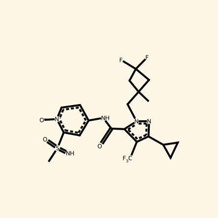 CC1(Cn2nc(C3CC3)c(C(F)(F)F)c2C(=O)Nc2cc[n+]([O-])c(S(C)(=N)=O)c2)CC(F)(F)C1